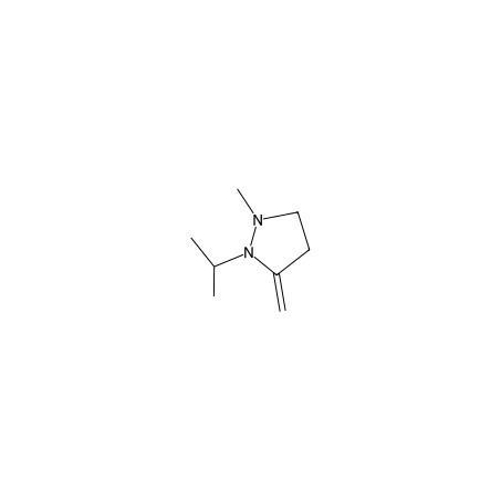 C=C1CCN(C)N1C(C)C